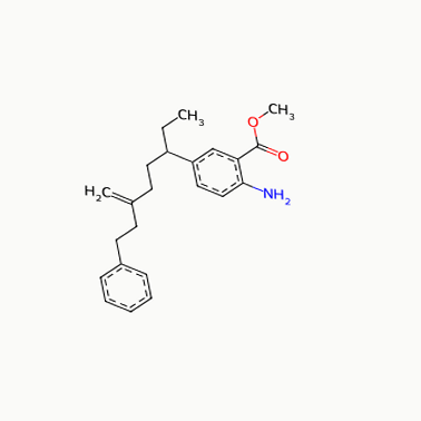 C=C(CCc1ccccc1)CCC(CC)c1ccc(N)c(C(=O)OC)c1